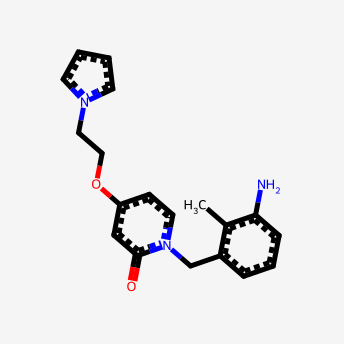 Cc1c(N)cccc1Cn1ccc(OCCn2cccc2)cc1=O